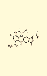 Cc1nn(CC(F)F)c2ccc(Nc3nc(N[C@H](C)[C@@H](N)C4CC4)c(F)cc3C(N)=O)cc12